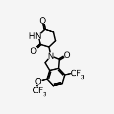 O=C1CCC(N2Cc3c(OC(F)(F)F)ccc(C(F)(F)F)c3C2=O)C(=O)N1